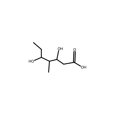 CCC(O)C(C)C(O)CC(=O)O